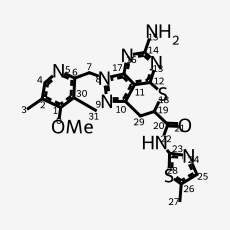 COc1c(C)cnc(Cn2nc3c4c(nc(N)nc42)SC(C(=O)Nc2ncc(C)s2)C3)c1C